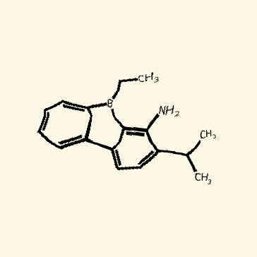 CCB1c2ccccc2-c2ccc(C(C)C)c(N)c21